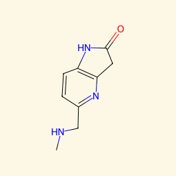 CNCc1ccc2c(n1)CC(=O)N2